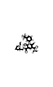 CCN1CCCC1CNC(=O)c1cc(C(=O)N(C)C)c(C)n(-c2cccc(C(F)(F)F)c2)c1=O